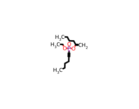 C=C(CCCC)OP(=O)(C#CCCCC)OCC